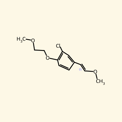 CO/C=C/c1ccc(OCCOC)c(Cl)c1